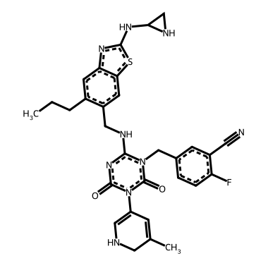 CCCc1cc2nc(NC3CN3)sc2cc1CNc1nc(=O)n(C2=CNCC(C)=C2)c(=O)n1Cc1ccc(F)c(C#N)c1